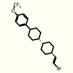 FC(F)(F)Oc1ccc(C2CCC([C@H]3CC[C@H](/C=C/Br)CC3)CC2)cc1